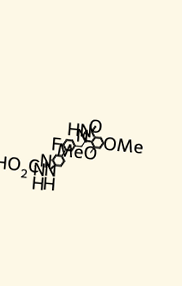 COc1cc(OC)c2c(Cc3ccc(F)c(-c4ccc5[nH]c(NC(=O)O)nc5c4)c3)n[nH]c(=O)c2c1